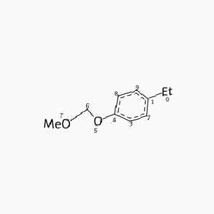 [CH2]Cc1ccc(OCOC)cc1